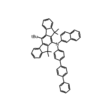 CC(C)(C)c1c2c(c(N(c3ccc(-c4ccc(-c5ccccc5)cc4)cc3)c3ccc4ccccc4c3)c3c1-c1ccccc1C3(C)C)C(C)(C)c1ccccc1-2